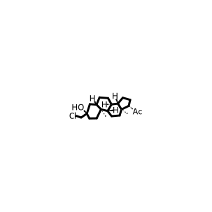 CC(=O)[C@H]1CC[C@H]2[C@@H]3CC[C@H]4C[C@@](O)(CCl)CC[C@]4(C)[C@H]3CC[C@]12C